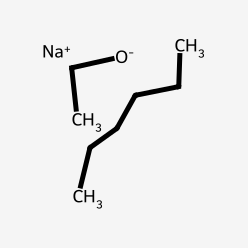 CCCCCC.CC[O-].[Na+]